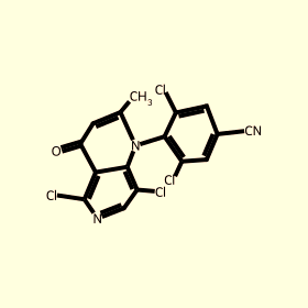 Cc1cc(=O)c2c(Cl)ncc(Cl)c2n1-c1c(Cl)cc(C#N)cc1Cl